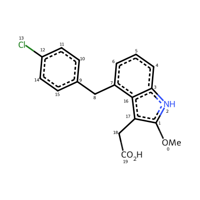 COc1[nH]c2cccc(Cc3ccc(Cl)cc3)c2c1CC(=O)O